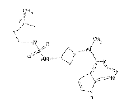 C[C@H]1CCN(S(=O)(=O)N[C@H]2C[C@@H](N(C)c3ncnc4[nH]ccc34)C2)C1